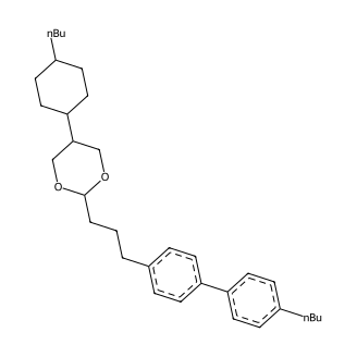 CCCCc1ccc(-c2ccc(CCCC3OCC(C4CCC(CCCC)CC4)CO3)cc2)cc1